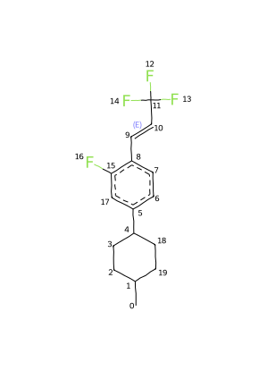 CC1CCC(c2ccc(/C=C/C(F)(F)F)c(F)c2)CC1